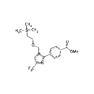 COC(=O)c1ccc(-c2nc(C(F)(F)F)cn2COCC[Si](C)(C)C)cc1